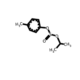 Cc1ccc(OS(=O)OC(C)C)cc1